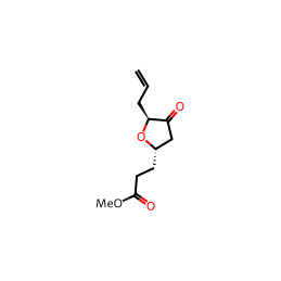 C=CC[C@@H]1O[C@@H](CCC(=O)OC)CC1=O